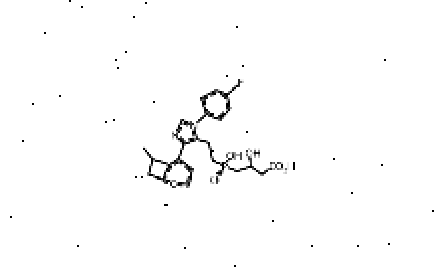 CC1Cc2cccc(-c3ncn(-c4ccc(F)cc4)c3CCP(=O)(O)C[C@@H](O)CC(=O)O)c21